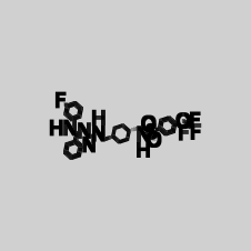 O=S(=O)(NC[C@H]1CC[C@H](CNc2nc(Nc3cccc(F)c3)c3ccccc3n2)CC1)c1ccc(OC(F)(F)F)cc1